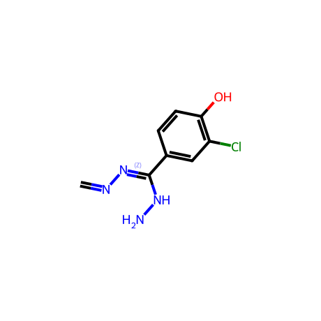 C=N/N=C(\NN)c1ccc(O)c(Cl)c1